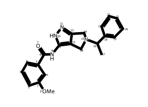 COc1cccc(C(=O)Nc2[nH]nc3c2CN(C(C)c2ccccc2)C3)c1